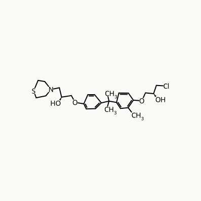 Cc1cc(C(C)(C)c2ccc(OC[C@@H](O)CN3CCSCC3)cc2)ccc1OC[C@H](O)CCl